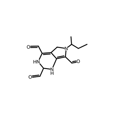 CCC(C)N1CC2=C(C=O)NC(C=O)NC2=C1C=O